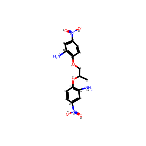 CC(COc1ccc([N+](=O)[O-])cc1N)Oc1ccc([N+](=O)[O-])cc1N